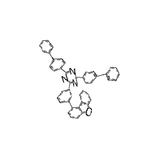 c1ccc(-c2ccc(-c3nc(-c4ccc(-c5ccccc5)cc4)nc(-c4cccc(-c5cccc6oc7ccccc7c56)c4)n3)cc2)cc1